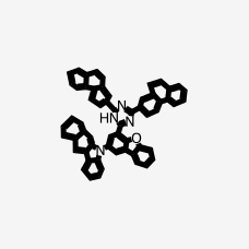 c1ccc2cc3c(cc2c1)c1ccccc1n3-c1cc(C2=NC(c3ccc4c(ccc5ccccc54)c3)=NC(c3ccc4c(ccc5ccccc54)c3)N2)c2oc3ccccc3c2c1